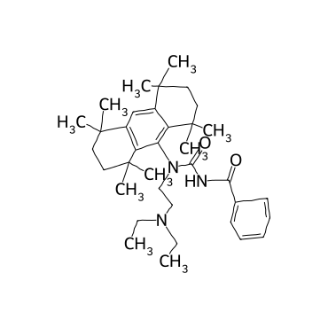 CCN(CC)CCN(C(=O)NC(=O)c1ccccc1)c1c2c(cc3c1C(C)(C)CCC3(C)C)C(C)(C)CCC2(C)C